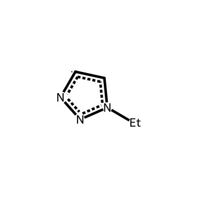 CCn1c[c]nn1